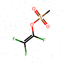 CS(=O)(=O)OC(F)=C(F)F